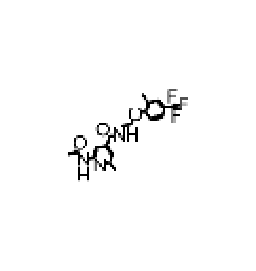 CC(=O)Nc1cc(C(=O)NCCOc2ccc(C(F)(F)F)cc2C)cc(C)n1